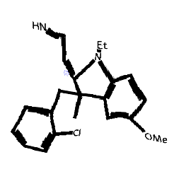 CCN1/C(=C\C=N)C(C)(Cc2ccccc2Cl)c2cc(OC)ccc21